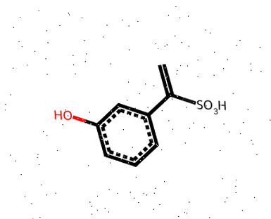 C=C(c1cccc(O)c1)S(=O)(=O)O